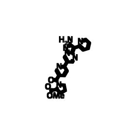 COC(=O)C1CCCN1C(=O)c1ccc(-c2cnc3c(-c4ccccn4)c(N)nn3c2)nc1